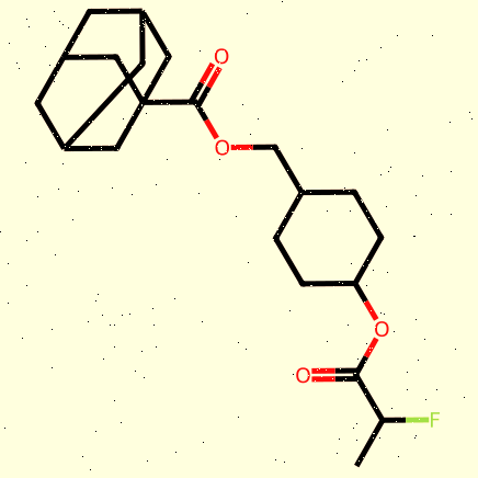 CC(F)C(=O)OC1CCC(COC(=O)C23CC4CC(CC(C4)C2)C3)CC1